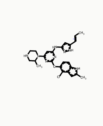 C/C=C/c1cc(Nc2cc(N3CCNCC3C)nc(Oc3ccc4[nH]c(C)cc4c3Cl)n2)n[nH]1